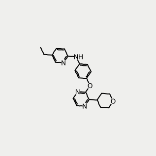 CCc1ccc(Nc2ccc(Oc3nccnc3C3CCOCC3)cc2)nc1